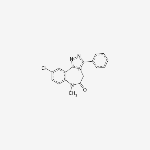 CN1C(=O)Cn2c(-c3ccccc3)nnc2-c2cc(Cl)ccc21